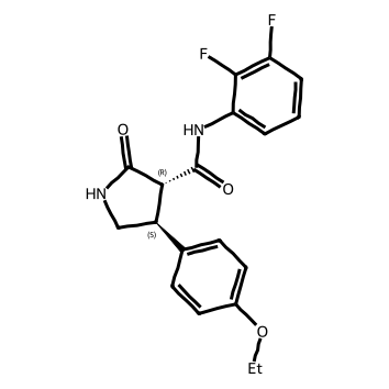 CCOc1ccc([C@H]2CNC(=O)[C@@H]2C(=O)Nc2cccc(F)c2F)cc1